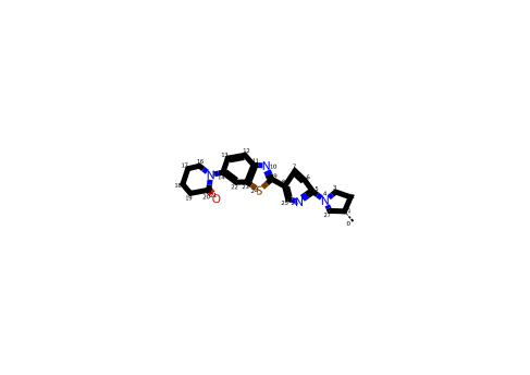 C[C@H]1CCN(c2ccc(-c3nc4ccc(N5CCCCC5=O)cc4s3)cn2)C1